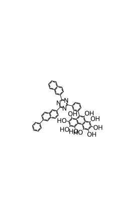 Oc1c(O)c(O)c2c(c1O)c(O)c(-c1cccc(-c3nc(-c4ccc5ccccc5c4)nc(-c4ccc5cc(-c6ccccc6)ccc5c4)n3)c1)c1c(O)c(O)c(O)c(O)c12